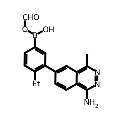 CCc1ccc(B(O)OC=O)cc1-c1ccc2c(N)nnc(C)c2c1